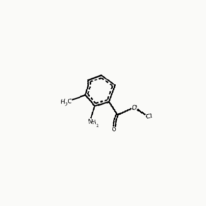 Cc1cccc(C(=O)OCl)c1N